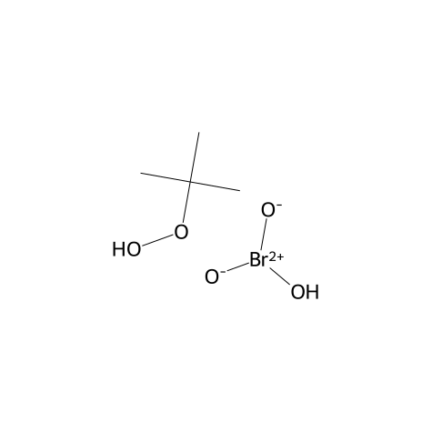 CC(C)(C)OO.[O-][Br+2]([O-])O